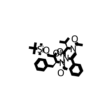 CC(=O)N1C=C(c2ccccc2)N(N(C(C)=O)[C@@H](Cc2ccccc2)C(O)CO[Si](C)(C)C(C)(C)C)C(=O)[C@H]1C(C)C